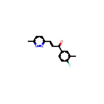 Cc1ccc(C=CC(=O)c2ccc(F)c(C)c2)nn1